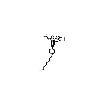 CCCCCCCCc1ccc(CCC(CO)(CO)NC(=O)SSC)cc1